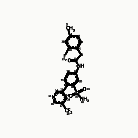 Cc1ccc(CC(=O)Nc2ccc(-c3cncc(C(F)(F)F)c3)c(S(N)(=O)=O)c2)c(F)c1